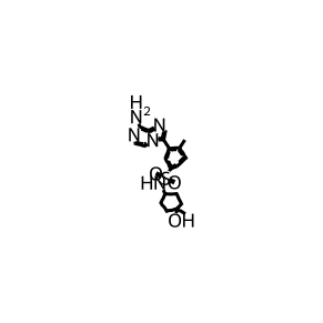 Cc1ccc(S(=O)(=O)NC2CCC(C)(O)CC2)cc1-c1cnc2c(N)nccn12